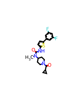 CN(C(=O)Nc1ccc(-c2cc(F)cc(F)c2)s1)C1CCN(C(=O)C2CC2)CC1